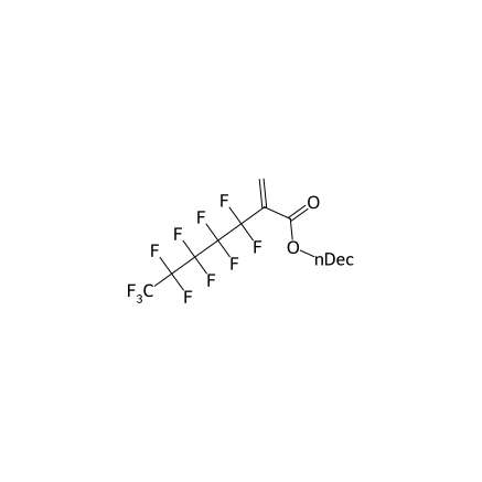 C=C(C(=O)OCCCCCCCCCC)C(F)(F)C(F)(F)C(F)(F)C(F)(F)C(F)(F)F